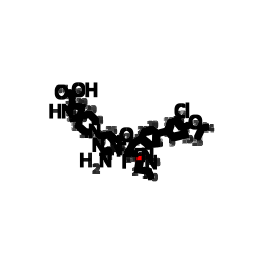 Cc1ccn(-c2cc(-c3ccc(OC(C)C)c(Cl)c3)ccc2[C@@H](Oc2cc(N3CCC4(CC3)CNC(C(=O)O)C4)nc(N)n2)C(F)(F)F)n1